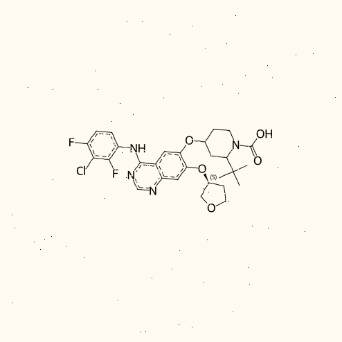 CC(C)(C)C1CC(Oc2cc3c(Nc4ccc(F)c(Cl)c4F)ncnc3cc2O[C@H]2CCOC2)CCN1C(=O)O